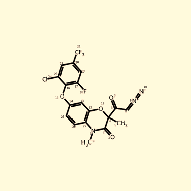 CN1C(=O)C(C)(C(=O)C=[N+]=[N-])Oc2cc(Oc3c(F)cc(C(F)(F)F)cc3Cl)ccc21